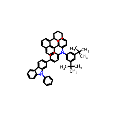 CC(C)(C)c1cc(N(c2ccc(-c3ccc4c5ccccc5n(-c5ccccc5)c4c3)cc2)c2ccccc2-c2cccc3cccc(C4CCCCC4)c23)cc(C(C)(C)C)c1